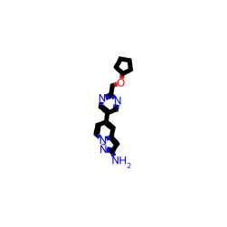 Nc1cc2cc(-c3cnc(COC4CCCC4)nc3)ccn2n1